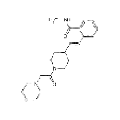 CNC(=O)c1ccccc1/C=C/C1CCN(C(=O)CN2CCOCC2)CC1